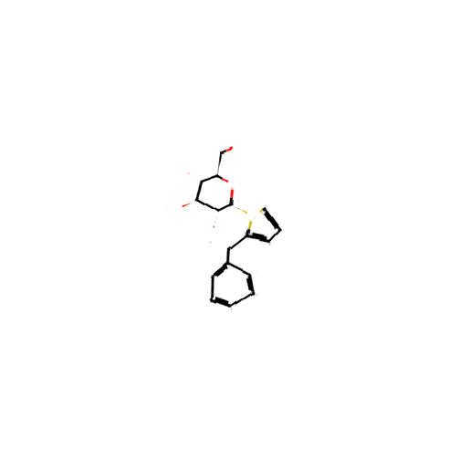 OC[C@H]1O[C@@H]([SH]2C=CC=C2Cc2ccccc2)[C@H](O)[C@@H](O)[C@@H]1O